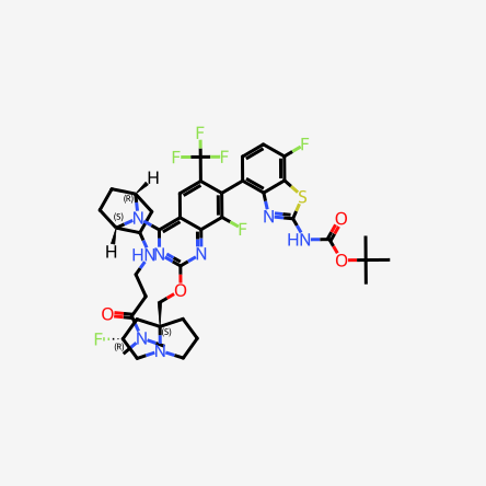 CN(C)C(=O)CCNC1C[C@H]2CC[C@@H]1N2c1nc(OC[C@@]23CCCN2C[C@H](F)C3)nc2c(F)c(-c3ccc(F)c4sc(NC(=O)OC(C)(C)C)nc34)c(C(F)(F)F)cc12